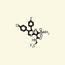 NS(=O)(=O)c1nn2c(-c3ccc(F)cc3)c(-c3ccc(Cl)cc3)cnc2c1C(=O)NCC(F)(F)F